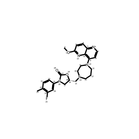 COc1ccc2nccc(N3CCCN(C[C@@H]4CN(c5ccc(C)c(F)c5)C(=O)O4)CC3)c2n1